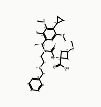 COc1cc([C@@H](C)N(CCOCc2ccccc2)C(=O)N[C@]2(C(=O)O)C[C@@H](OC)C2)c(C)c(OC)c1C1CC1